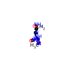 C=C(C(N)=O)c1ccc(-c2ccc(CNc3nc(N4CCOCC4)nc4c3ncn4-c3cnn(C)c3)cn2)cc1